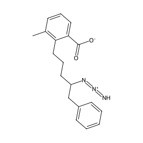 Cc1cccc(C(=O)[O-])c1CCCC(Cc1ccccc1)N=[N+]=N